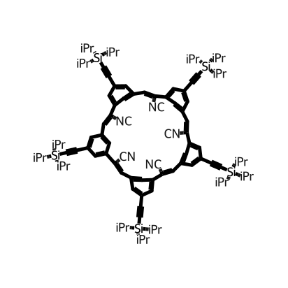 [C-]#[N+]/C1=C\c2cc(C#C[Si](C(C)C)(C(C)C)C(C)C)cc(c2)/C(C#N)=C/c2cc(C#C[Si](C(C)C)(C(C)C)C(C)C)cc(c2)/C(C#N)=C/c2cc(C#C[Si](C(C)C)(C(C)C)C(C)C)cc(c2)/C([N+]#[C-])=C/c2cc(C#C[Si](C(C)C)(C(C)C)C(C)C)cc(c2)/C([N+]#[C-])=C/c2cc(C#C[Si](C(C)C)(C(C)C)C(C)C)cc1c2